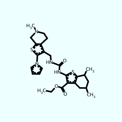 CCOC(=O)c1c(NC(=O)NCc2c(-n3cccc3)sc3c2CCN(C)C3)sc2c1CC(C)CC2C